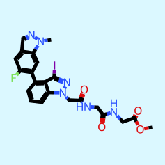 COC(=O)CNC(=O)CNC(=O)Cn1nc(I)c2c(-c3cc4c(cnn4C)cc3F)cccc21